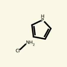 NCl.c1cc[pH]c1